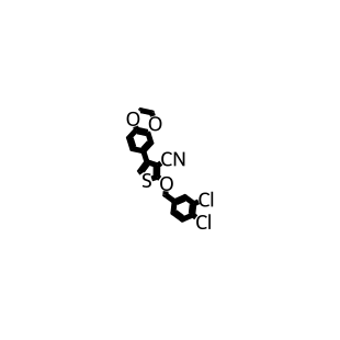 N#Cc1c(-c2ccc3c(c2)OCCO3)csc1OCc1ccc(Cl)c(Cl)c1